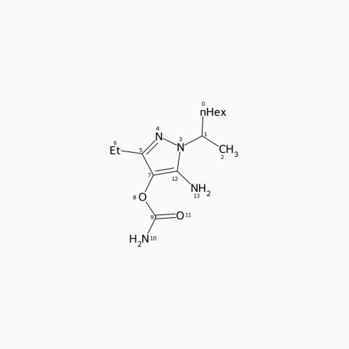 CCCCCCC(C)n1nc(CC)c(OC(N)=O)c1N